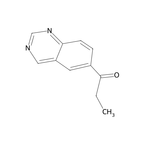 CCC(=O)c1ccc2ncncc2c1